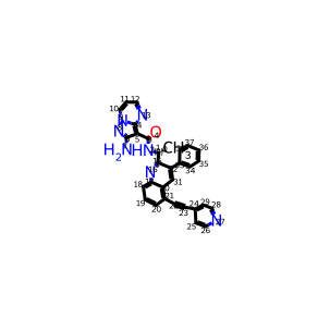 C[C@@H](NC(=O)c1c(N)nn2cccnc12)c1nc2cccc(C#Cc3ccncc3)c2cc1-c1ccccc1